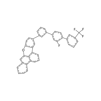 Fc1cc(-c2cccc(-c3ccc4c(c3)-c3cccc5c3c(cc3ccccc35)O4)c2)ccc1-c1cccc(C(F)(F)F)c1